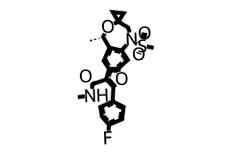 CNC(=O)c1c(-c2ccc(F)cc2)oc2cc3c(cc12)[C@H](C)OC1(CC1)CN3S(C)(=O)=O